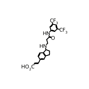 O=C(O)/C=C/c1ccc2c(c1)CCC2NCCC(=O)Nc1cc(C(F)(F)F)cc(C(F)(F)F)c1